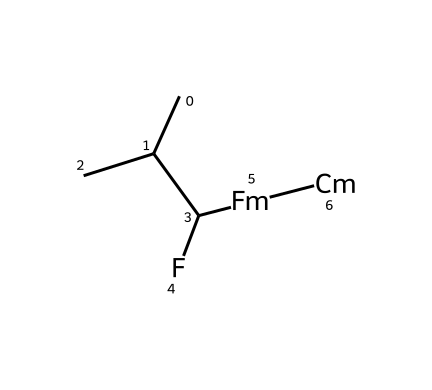 CC(C)[CH](F)[Fm][Cm]